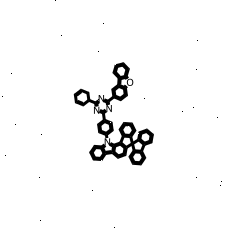 C1=CCC(c2nc(-c3ccc(-n4c5ccccc5c5ccc6c(c54)-c4ccccc4C64c5ccccc5-c5ccccc54)cc3)nc(-c3ccc4oc5ccccc5c4c3)n2)C=C1